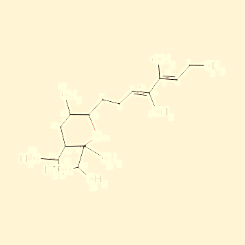 CC/C=C(C)/C(C)=C/CCC1OC(C)(C(C)C)C(C(C)C)CC1C